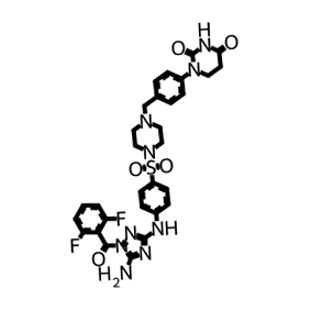 Nc1nc(Nc2ccc(S(=O)(=O)N3CCN(Cc4ccc(N5CCC(=O)NC5=O)cc4)CC3)cc2)nn1C(=O)c1c(F)cccc1F